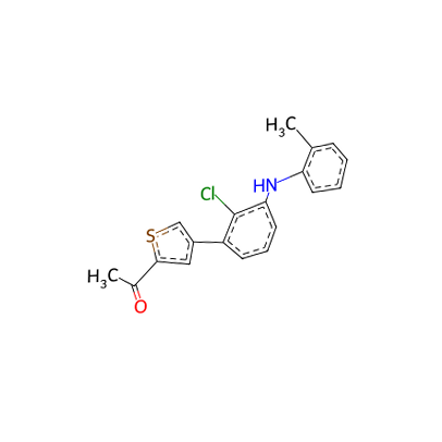 CC(=O)c1cc(-c2cccc(Nc3ccccc3C)c2Cl)cs1